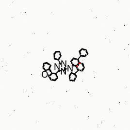 c1ccc(-c2ccc(N(c3nc(-c4ccccc4)nc(-c4cccc5oc6ccccc6c45)n3)c3ccccc3-c3ccccc3)cc2)cc1